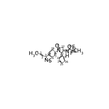 CC#Cc1nsc2cc(N3C(=O)CC(NC(=O)C(C)(F)F)C3c3ccccc3)ccc12